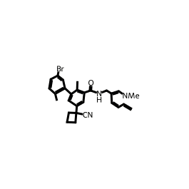 C=C/C=C\C(=C/NC)CNC(=O)c1cc(C2(C#N)CCC2)cc(-c2cc(Br)ccc2C)c1C